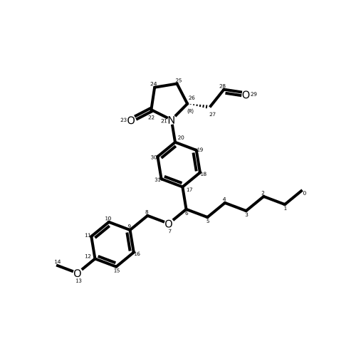 CCCCCCC(OCc1ccc(OC)cc1)c1ccc(N2C(=O)CC[C@@H]2CC=O)cc1